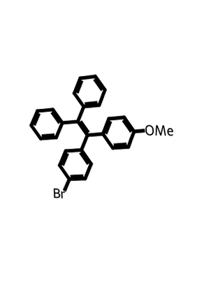 COc1ccc(C(=C(c2ccccc2)c2ccccc2)c2ccc(Br)cc2)cc1